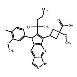 COCC(C)(C)c1c(C2CC(OC)(C(=O)O)C2)c2nc3[nH]ncc3cc2n1-c1ccc(F)c(OC)c1